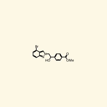 COC(=O)c1ccc(C(O)Cn2cc3c(Br)cccc3n2)cc1